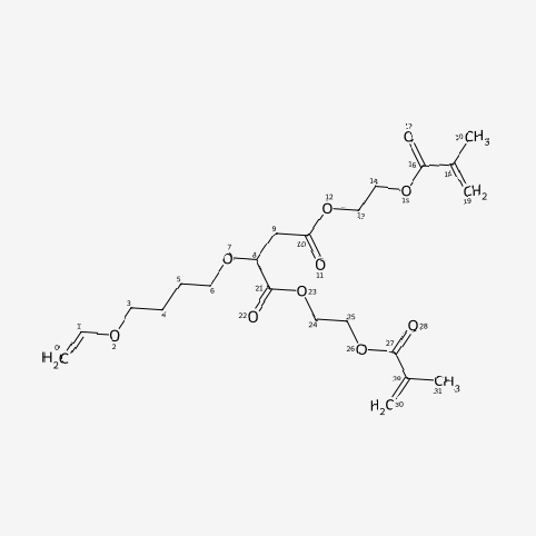 C=COCCCCOC(CC(=O)OCCOC(=O)C(=C)C)C(=O)OCCOC(=O)C(=C)C